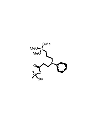 CO[Si](CCCN(CCC(=O)O[Si](C)(C)C(C)(C)C)c1ccccc1)(OC)OC